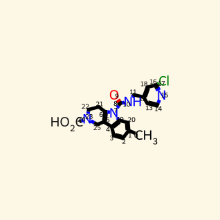 Cc1ccc2c3c(n(C(=O)NCc4ccnc(Cl)c4)c2c1)CCN(C(=O)O)C3